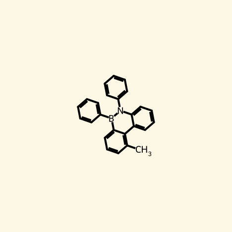 Cc1cccc2c1-c1ccccc1N(c1ccccc1)B2c1ccccc1